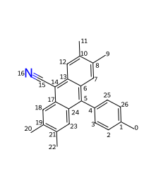 Cc1ccc(-c2c3cc(C)c(C)cc3c(C#N)c3cc(C)c(C)cc23)cc1